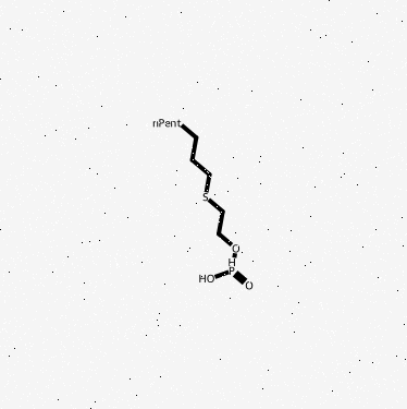 CCCCCCCCSCCO[PH](=O)O